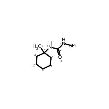 CC(C)NC(=O)NC1(C)CCCCC1